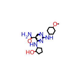 CO[C@H]1CC[C@H](Nc2ncc(C(N)=O)c(N[C@H]3CCCC3O)n2)CC1